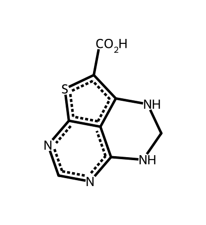 O=C(O)c1sc2ncnc3c2c1NCN3